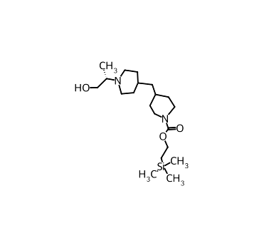 C[C@@H](CO)N1CCC(CC2CCN(C(=O)OCC[Si](C)(C)C)CC2)CC1